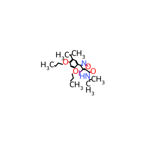 CCCCOc1cc(OCCCC)c(C(C)C)cc1-c1noc(C(=O)NC(C)C)c1I